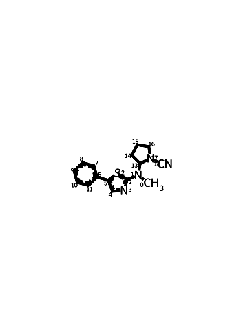 CN(c1ncc(-c2ccccc2)s1)C1CCCN1C#N